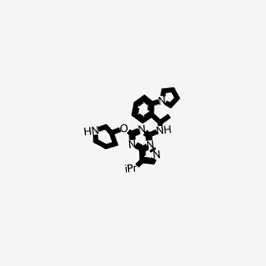 CC(C)c1cnn2c(NC(C)c3ccccc3N3CCCC3)nc(OC3CCCNC3)nc12